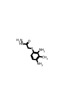 Cc1c(N)ccc(SCC(=O)NN)c1N